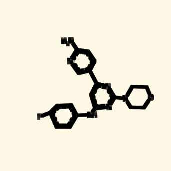 Nc1ccc(-c2cc(Nc3ccc(F)cc3)nc(N3CCOCC3)n2)cn1